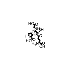 N[C@@H](CCC(=O)N[C@@H](CS)C(=O)NCC(=O)O)C(=O)O.O=C(O)[C@@H]1CCCN1